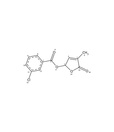 CC1=CC(OC(=O)c2cccc(Cl)c2)OC1=O